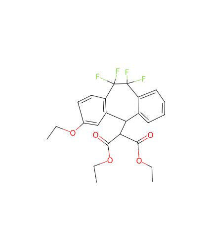 CCOC(=O)C(C(=O)OCC)C1c2ccccc2C(F)(F)C(F)(F)c2ccc(OCC)cc21